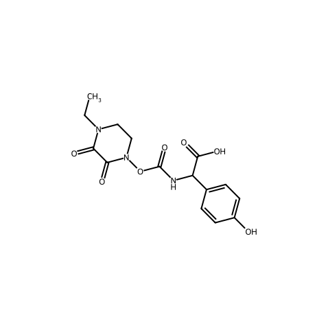 CCN1CCN(OC(=O)NC(C(=O)O)c2ccc(O)cc2)C(=O)C1=O